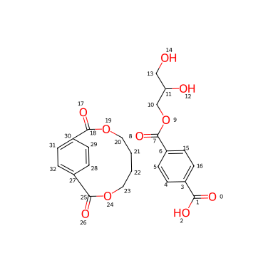 O=C(O)c1ccc(C(=O)OCC(O)CO)cc1.O=C1OCCCCOC(=O)c2ccc1cc2